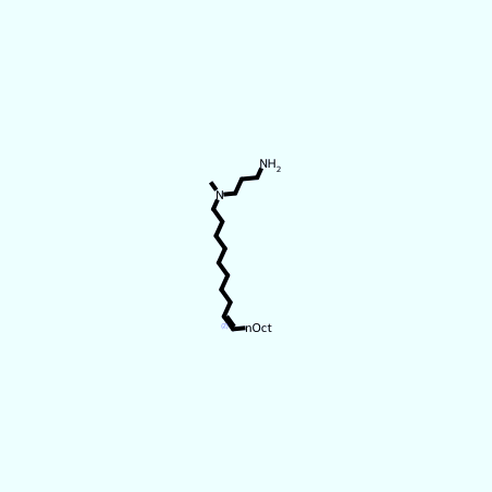 CCCCCCCC/C=C\CCCCCCCCN(C)CCCN